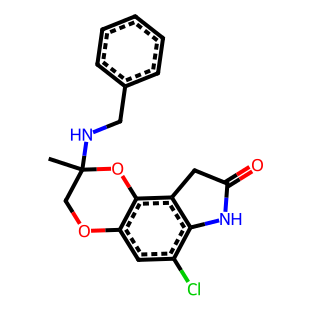 CC1(NCc2ccccc2)COc2cc(Cl)c3c(c2O1)CC(=O)N3